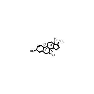 C[C@]12C=CC(O)C=C1CC(O)[C@@H]1[C@H]2CC[C@]2(C)C(N)=CC[C@@H]12